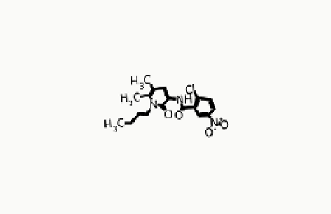 CCCCn1c(C)c(C)cc(NC(=O)c2cc([N+](=O)[O-])ccc2Cl)c1=O